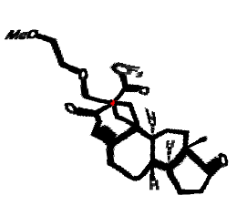 COCCOCN(C[C@]12CCC(=O)C=C1CC[C@@H]1[C@@H]2CC[C@]2(C)C(=O)CC[C@@H]12)C(=O)C(F)(F)F